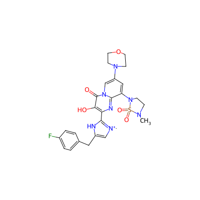 CN1CCN(c2cc(N3CCOCC3)cn3c(=O)c(O)c(C4=[N+]C=C(Cc5ccc(F)cc5)N4)nc23)S1(=O)=O